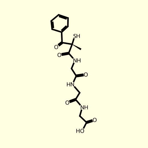 C[C@@](S)(C(=O)NCC(=O)NCC(=O)NCC(=O)O)C(=O)c1ccccc1